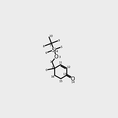 CC1(CO[Si](C)(C)C(C)(C)C)C=CC(=O)CC1